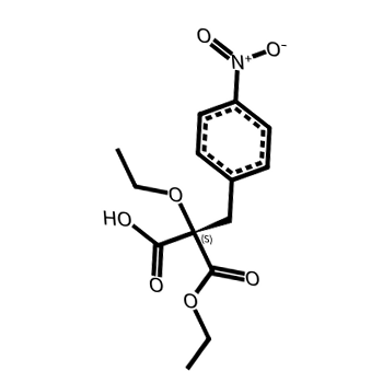 CCOC(=O)[C@@](Cc1ccc([N+](=O)[O-])cc1)(OCC)C(=O)O